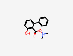 CN(C)OC(=O)c1c(O)cccc1-c1ccccc1